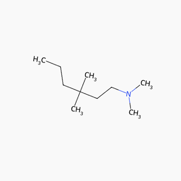 CCCC(C)(C)CCN(C)C